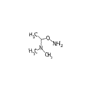 CC(ON)N(C)C